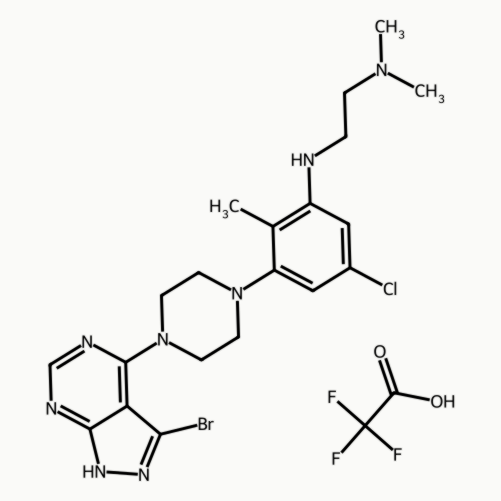 Cc1c(NCCN(C)C)cc(Cl)cc1N1CCN(c2ncnc3[nH]nc(Br)c23)CC1.O=C(O)C(F)(F)F